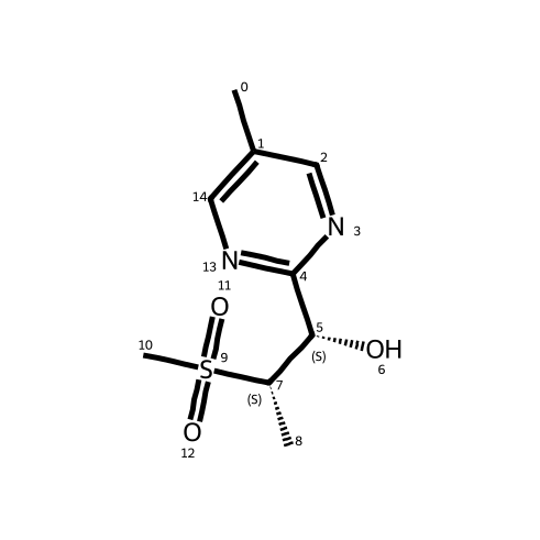 Cc1cnc([C@H](O)[C@H](C)S(C)(=O)=O)nc1